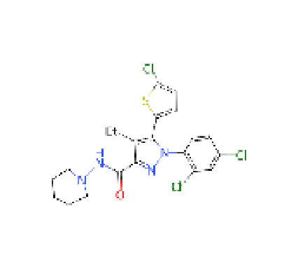 CCc1c(C(=O)NN2CCCCC2)nn(-c2ccc(Cl)cc2Cl)c1-c1ccc(Cl)s1